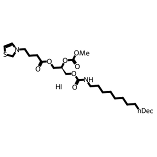 CCCCCCCCCCCCCCCCCCNC(=O)OC[C@@H](COC(=O)CCCN1C=CSC1)OC(=O)OC.I